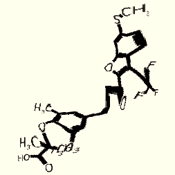 CSc1ccc2c(C(F)(F)F)c(C(=O)C=Cc3cc(C)c(OC(C)(C)C(=O)O)c(C)c3)oc2c1